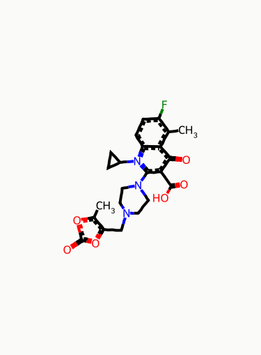 Cc1oc(=O)oc1CN1CCN(c2c(C(=O)O)c(=O)c3c(C)c(F)ccc3n2C2CC2)CC1